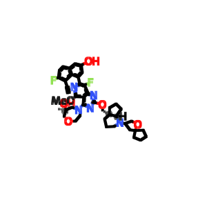 C#Cc1c(F)ccc2cc(O)cc(-c3nc(OC)c4c(N5CCOC[C@@](C)(O)C5)nc(OC[C@]56CCC[C@H]5N(C5COC7(CCCC7)C5)CCC6)nc4c3F)c12